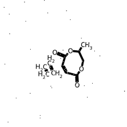 C=C.C=C.CC1COC(=O)C=CC(=O)O1